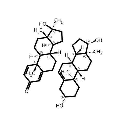 C[C@]12C=CC(=O)C=C1CC[C@@H]1[C@@H]2CC[C@@]2(C)[C@H]1CC[C@]2(C)O.C[C@]12CC[C@H]3[C@@H](CC=C4C[C@@H](O)CC[C@@]43C)[C@@H]1CC[C@@H]2O